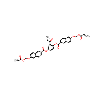 C=CC(=O)OCOc1ccc2cc(C(=O)Oc3ccc(OC(=O)c4ccc5cc(OCOC(=O)C=C)ccc5c4)c(C(=O)CC)c3)ccc2c1